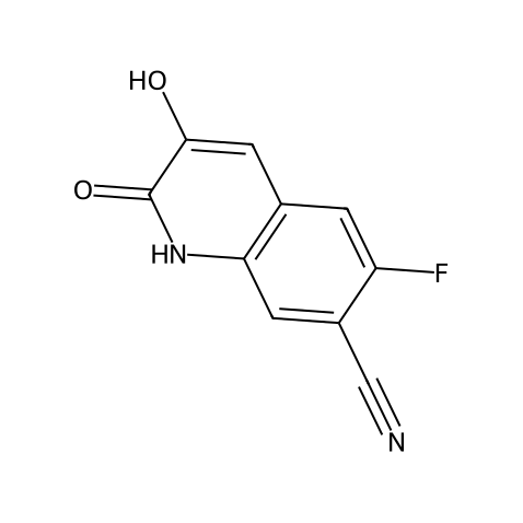 N#Cc1cc2[nH]c(=O)c(O)cc2cc1F